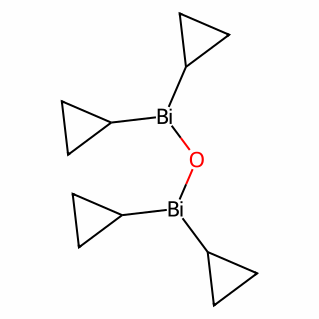 C1C[CH]1[Bi]([O][Bi]([CH]1CC1)[CH]1CC1)[CH]1CC1